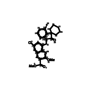 COC(=O)c1cc2cc(Cl)cc(CNC(=O)C3(c4ccccc4F)CCCCC3)c2nc1OC